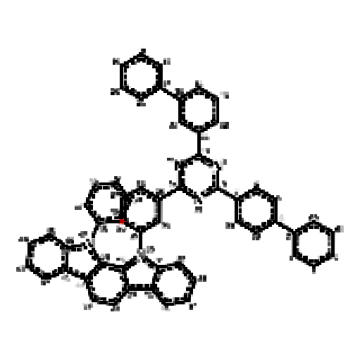 c1ccc(-c2ccc(-c3nc(-c4cccc(-c5ccccc5)c4)nc(-c4cccc(-n5c6ccccc6c6ccc7c8ccccc8n(-c8ccccc8)c7c65)c4)n3)cc2)cc1